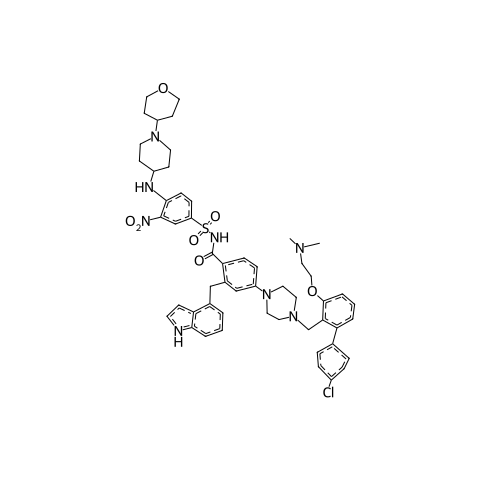 CN(C)CCOc1cccc(-c2ccc(Cl)cc2)c1CN1CCN(c2ccc(C(=O)NS(=O)(=O)c3ccc(NC4CCN(C5CCOCC5)CC4)c([N+](=O)[O-])c3)c(Cc3cccc4[nH]ccc34)c2)CC1